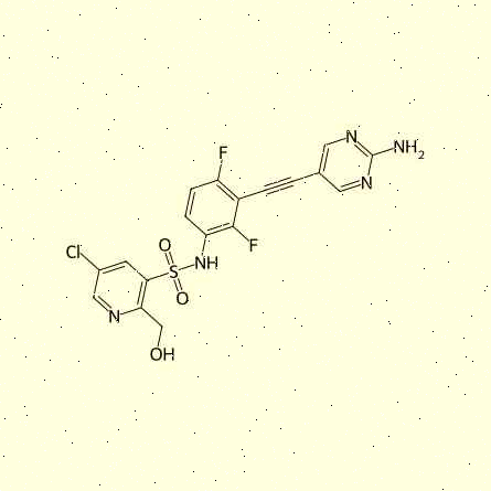 Nc1ncc(C#Cc2c(F)ccc(NS(=O)(=O)c3cc(Cl)cnc3CO)c2F)cn1